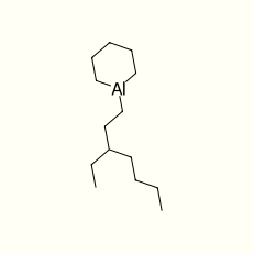 CCCCC(CC)C[CH2][Al]1[CH2]CCC[CH2]1